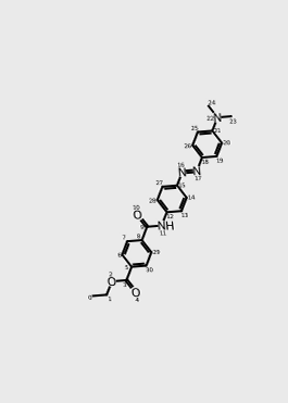 CCOC(=O)c1ccc(C(=O)Nc2ccc(N=Nc3ccc(N(C)C)cc3)cc2)cc1